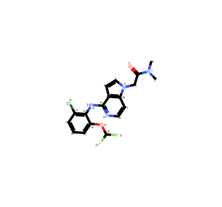 CN(C)C(=O)Cn1ccc2c(Nc3c(Cl)cccc3OC(F)F)nccc21